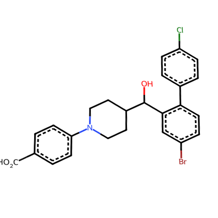 O=C(O)c1ccc(N2CCC(C(O)c3cc(Br)ccc3-c3ccc(Cl)cc3)CC2)cc1